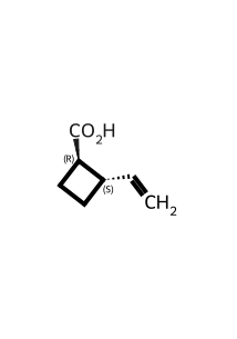 C=C[C@@H]1CC[C@H]1C(=O)O